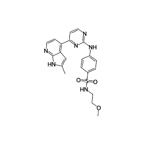 COCCNS(=O)(=O)c1ccc(Nc2nccc(-c3ccnc4[nH]c(C)cc34)n2)cc1